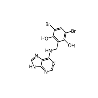 Oc1c(Br)cc(Br)c(O)c1CNc1ncnc2[nH]cnc12